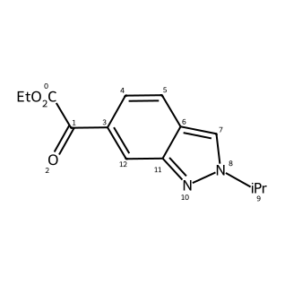 CCOC(=O)C(=O)c1ccc2cn(C(C)C)nc2c1